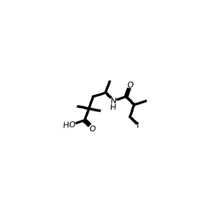 CC(CC(C)(C)C(=O)O)NC(=O)C(C)CI